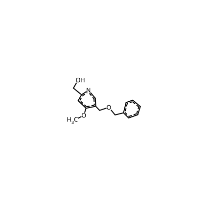 COc1cc(CO)ncc1COCc1ccccc1